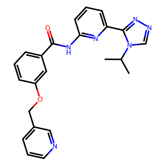 CC(C)n1cnnc1-c1cccc(NC(=O)c2cccc(OCc3cccnc3)c2)n1